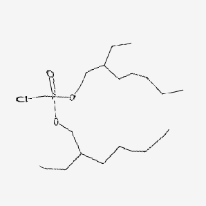 CCCCC(CC)COP(=O)(Cl)OCC(CC)CCCC